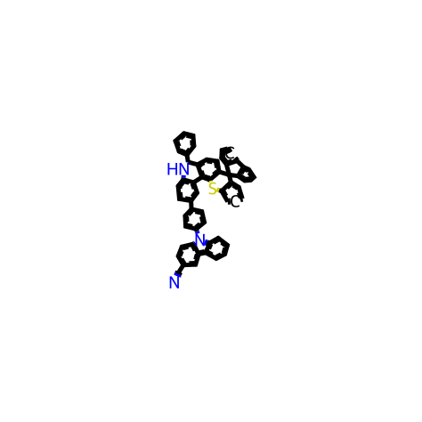 N#Cc1ccc2c(c1)c1ccccc1n2-c1ccc(-c2ccc3c(c2)-c2c(ccc4c2Sc2ccccc2C42c4ccccc4-c4ccccc42)C(c2ccccc2)N3)cc1